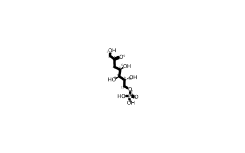 O=C(CO)C[C@@H](O)[C@H](O)[C@H](O)COP(=O)(O)O